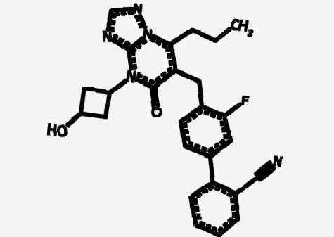 CCCc1c(Cc2ccc(-c3ccccc3C#N)cc2F)c(=O)n(C2CC(O)C2)c2ncnn12